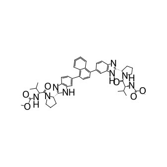 COC(=O)N[C@H](C(=O)N1CCC[C@H]1c1nc2ccc(-c3ccc(-c4ccc5nc([C@@H]6CCCN6C(=O)[C@@H](NC(=O)OC)C(C)C)[nH]c5c4)c4c3C=C=C=C4)cc2[nH]1)C(C)C